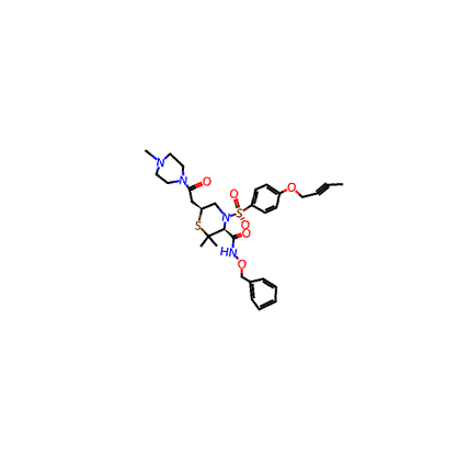 CC#CCOc1ccc(S(=O)(=O)N2C[C@H](CC(=O)N3CCN(C)CC3)SC(C)(C)[C@@H]2C(=O)NOCc2ccccc2)cc1